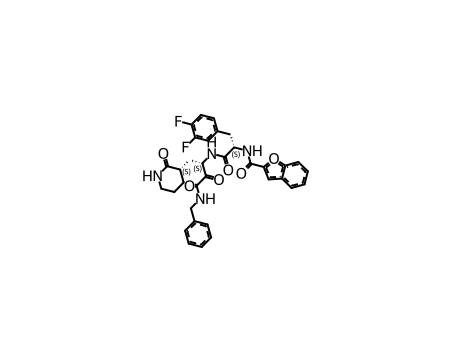 O=C(NCc1ccccc1)C(=O)[C@H](C[C@@H]1CCCNC1=O)NC(=O)[C@H](Cc1ccc(F)c(F)c1)NC(=O)c1cc2ccccc2o1